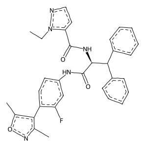 CCn1nccc1C(=O)N[C@H](C(=O)Nc1ccc(-c2c(C)noc2C)c(F)c1)C(c1ccccc1)c1ccccc1